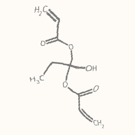 C=CC(=O)OC(O)(CC)OC(=O)C=C